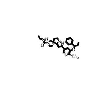 CCNC(=O)N1CC[C@@]2(CCn3nc(-c4cnc(N)c(OC(CC)c5ccccc5)c4)cc32)C1